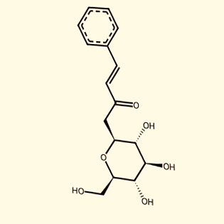 O=C(/C=C/c1ccccc1)C[C@@H]1O[C@H](CO)[C@@H](O)[C@H](O)[C@H]1O